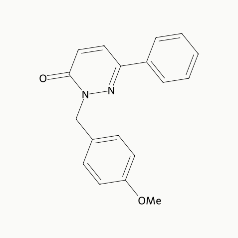 COc1ccc(Cn2nc(-c3ccccc3)ccc2=O)cc1